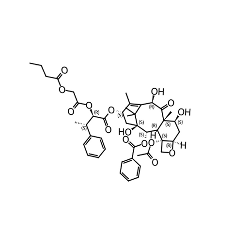 CCCC(=O)OCC(=O)O[C@@H](C(=O)O[C@H]1C[C@@]2(O)[C@@H](OC(=O)c3ccccc3)[C@@H]3[C@]4(OC(C)=O)CO[C@@H]4C[C@H](O)[C@@]3(C)C(=O)[C@H](O)C(=C1C)C2(C)C)[C@@H](C)c1ccccc1